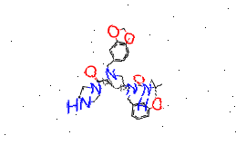 COc1cccc(CN(C(=O)NC(C)(C)C)[C@H]2C[C@@H](C(=O)N3CCNCC3)N(Cc3ccc4c(c3)OCO4)C2)c1